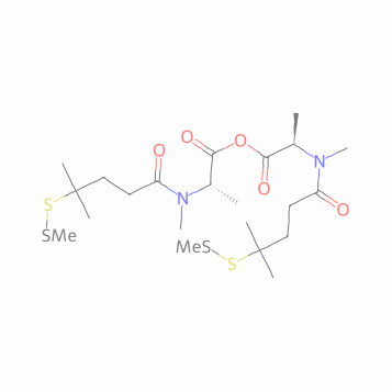 CSSC(C)(C)CCC(=O)N(C)[C@H](C)C(=O)OC(=O)[C@H](C)N(C)C(=O)CCC(C)(C)SSC